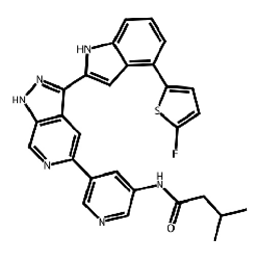 CC(C)CC(=O)Nc1cncc(-c2cc3c(-c4cc5c(-c6ccc(F)s6)cccc5[nH]4)n[nH]c3cn2)c1